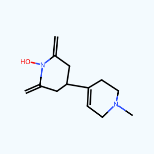 C=C1CC(C2=CCN(C)CC2)CC(=C)N1O